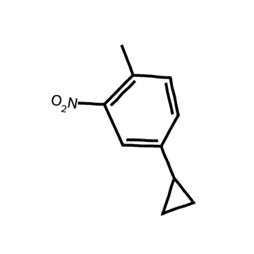 Cc1ccc(C2CC2)cc1[N+](=O)[O-]